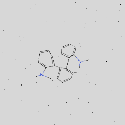 [CH2]c1cccc(-c2ccccc2N(C)C)c1-c1ccccc1N(C)C